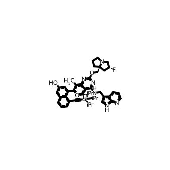 Cc1c(-c2cc(O)cc3cccc(C#C[Si](C(C)C)(C(C)C)C(C)C)c23)oc(=O)c2c(NCc3c[nH]c4ncccc34)nc(OC[C@@]34CCCN3C[C@H](F)C4)nc12